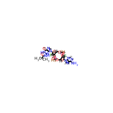 CC(C)C(=O)Nc1nc2c(ncn2[C@@H]2O[C@@H]3COP(=O)(S)O[C@H]4[C@@H](F)[C@H](n5cnc6c(N)ncnc65)O[C@@H]4CO[P@@](=O)(S)O[C@H]3[C@H]2F)c(=O)[nH]1